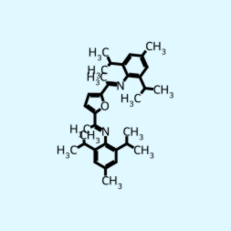 CC(=Nc1c(C(C)C)cc(C)cc1C(C)C)c1ccc(C(C)=Nc2c(C(C)C)cc(C)cc2C(C)C)o1